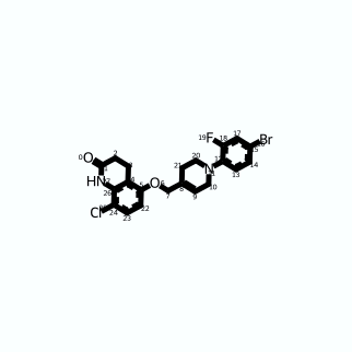 O=C1CCc2c(OCC3=CCN(c4ccc(Br)cc4F)CC3)ccc(Cl)c2N1